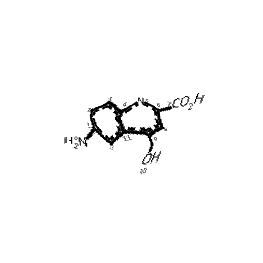 Nc1ccc2nc(C(=O)O)cc(O)c2c1